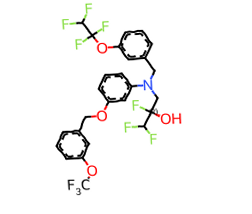 O[C@@](F)(CN(Cc1cccc(OC(F)(F)C(F)F)c1)c1cccc(OCc2cccc(OC(F)(F)F)c2)c1)C(F)F